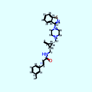 C=C1[C@H](CNC(=O)/C=C/c2cccc(C)c2)[C@H]1CN1CCN(c2nsc3ccccc23)CC1